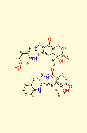 CCC1(O)C(=O)OCc2c1cc1n(c2=O)Cc2cc3ccc(O)cc3nc2-1.CCC1(O)C(=O)OCc2c1cc1n(c2=O)Cc2cc3ccccc3nc2-1